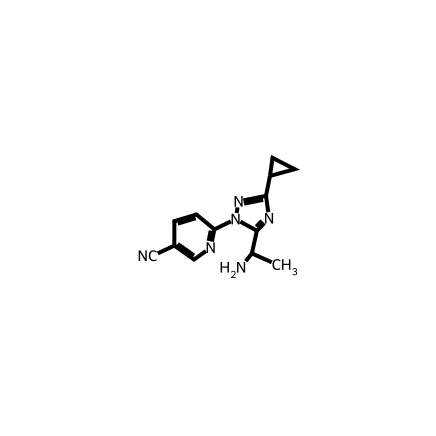 CC(N)c1nc(C2CC2)nn1-c1ccc(C#N)cn1